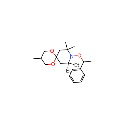 CCC1(CC)CC2(CC(C)(C)N1OC(C)c1ccccc1)OCC(C)CO2